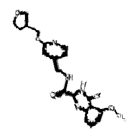 COc1cccc2nc(C(=O)NCc3ccnc(OCC4CCOC4)c3)[nH]c(=O)c12